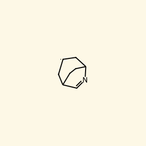 [CH]1CC2C=NC(C1)CC2